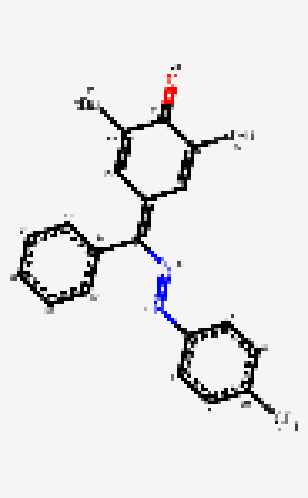 CC(C)(C)C1=CC(=C(N=Nc2ccc(C(F)(F)F)cc2)c2ccccc2)C=C(C(C)(C)C)C1=O